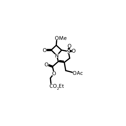 CCOC(=O)COC(=O)C1=C(COC(C)=O)CS(=O)(=O)C2C(OC)C(=O)N12